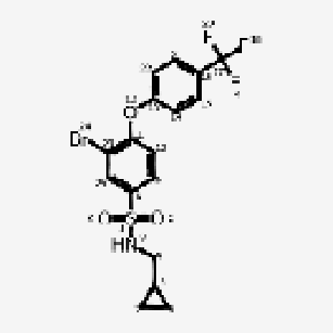 O=S(=O)(NCC1CC1)c1ccc(Oc2ccc(C(F)(F)F)cc2)c(Br)c1